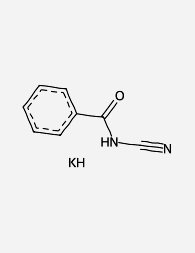 N#CNC(=O)c1ccccc1.[KH]